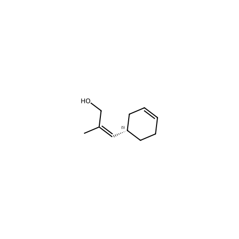 CC(=C[C@@H]1CC=CCC1)CO